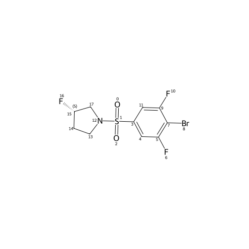 O=S(=O)(c1cc(F)c(Br)c(F)c1)N1CC[C@H](F)C1